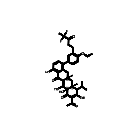 CCOc1ccc(-c2ccc(O)c3c2C[C@]2(C)C[C@]4(C)C(C(C)C)C(O)=C(C(C)=O)C(=O)[C@]4(O)C(O)=C2C3=O)cc1CCC(=O)C(C)(F)F